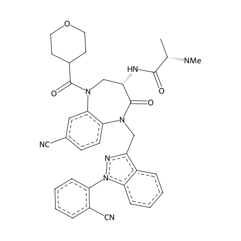 CN[C@@H](C)C(=O)N[C@H]1CN(C(=O)C2CCOCC2)c2cc(C#N)ccc2N(Cc2nn(-c3ccccc3C#N)c3ccccc23)C1=O